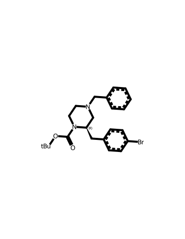 CC(C)(C)OC(=O)N1CCN(Cc2ccccc2)C[C@H]1Cc1ccc(Br)cc1